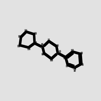 c1cncc(N2CCN(C3CCCCC3)CC2)c1